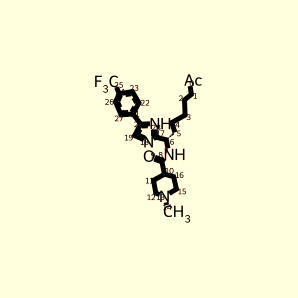 CC(=O)CCCCC[C@H](NC(=O)C1CCN(C)CC1)c1ncc(-c2ccc(C(F)(F)F)cc2)[nH]1